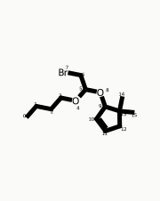 CCCCOC(CBr)OC1C=CCC1(C)C